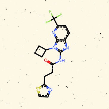 O=C(CCc1nccs1)Nc1nc2ccc(C(F)(F)F)nc2n1C1CCC1